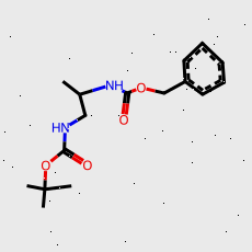 CC(CNC(=O)OC(C)(C)C)NC(=O)OCc1ccccc1